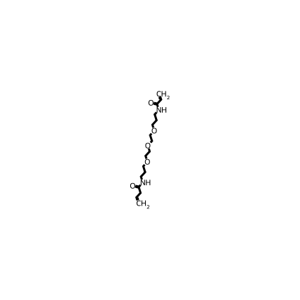 C=CCC(=O)NCCCOCCOCCOCCCNC(=O)C=C